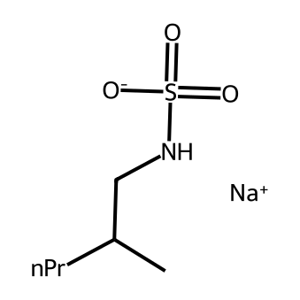 CCCC(C)CNS(=O)(=O)[O-].[Na+]